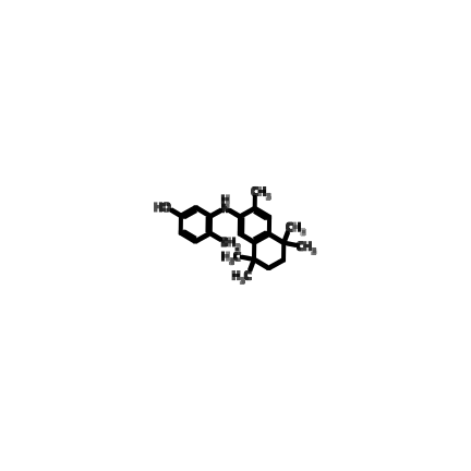 Bc1ccc(O)cc1Nc1cc2c(cc1C)C(C)(C)CCC2(C)C